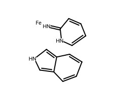 N=c1cccc[nH]1.[Fe].c1ccc2c[nH]cc2c1